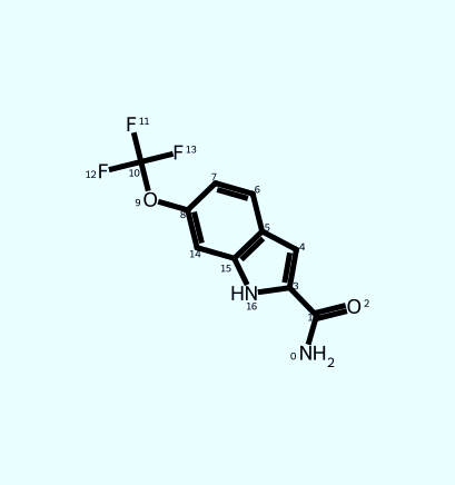 NC(=O)c1cc2ccc(OC(F)(F)F)cc2[nH]1